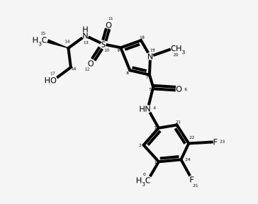 Cc1cc(NC(=O)c2cc(S(=O)(=O)N[C@H](C)CO)cn2C)cc(F)c1F